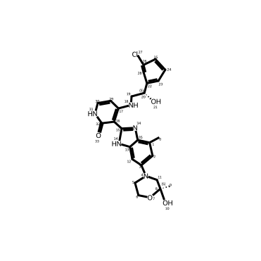 Cc1cc(N2CCO[C@](C)(O)C2)cc2[nH]c(-c3c(NC[C@@H](O)c4cccc(Cl)c4)cc[nH]c3=O)nc12